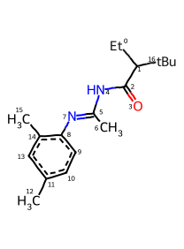 CCC(C(=O)N/C(C)=N/c1ccc(C)cc1C)C(C)(C)C